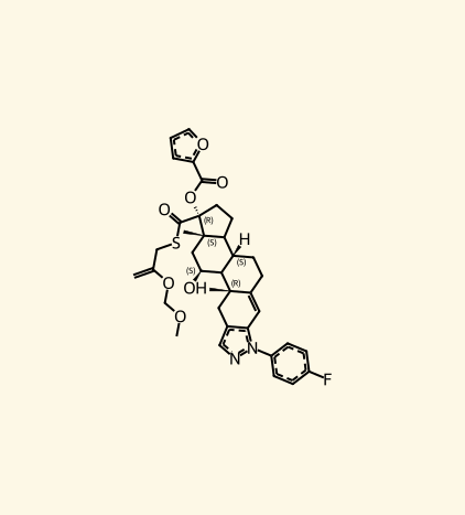 C=C(CSC(=O)[C@@]1(OC(=O)c2ccco2)CCC2[C@@H]3CCC4=Cc5c(cnn5-c5ccc(F)cc5)C[C@]4(C)C3[C@@H](O)C[C@@]21C)OCOC